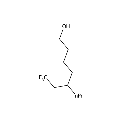 CCCC(CCCCO)CC(F)(F)F